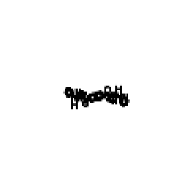 O=C(c1ccnc(Nc2ccccc2)n1)N1CCC2(CC1)CCN(C(=O)c1ccnc(Nc3ccccn3)n1)CC2